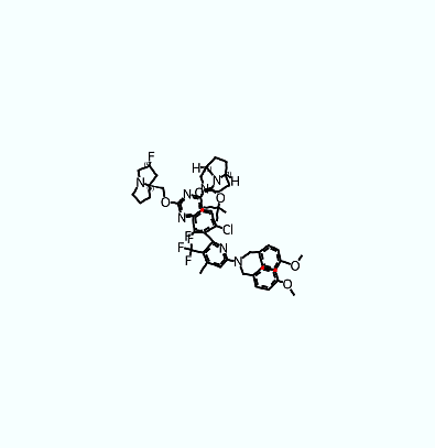 COc1ccc(CN(Cc2ccc(OC)cc2)c2cc(C)c(C(F)(F)F)c(-c3c(Cl)cc4c(N5CC[C@H]6CC[C@@H](C5)N6C(=O)OC(C)(C)C)nc(OC[C@@]56CCCN5C[C@@H](F)C6)nc4c3F)n2)cc1